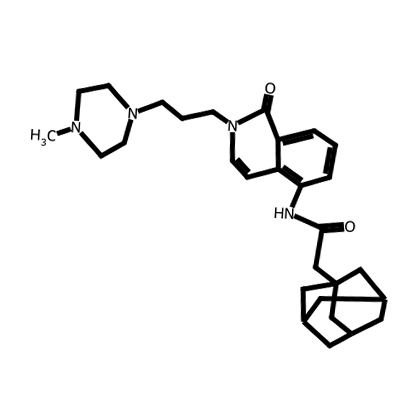 CN1CCN(CCCn2ccc3c(NC(=O)CC45CC6CC(CC(C6)C4)C5)cccc3c2=O)CC1